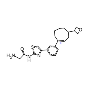 NCC(=O)Nc1nc(-c2cccc(/C3=C/CC(C4COC4)CCCC3)c2)cs1